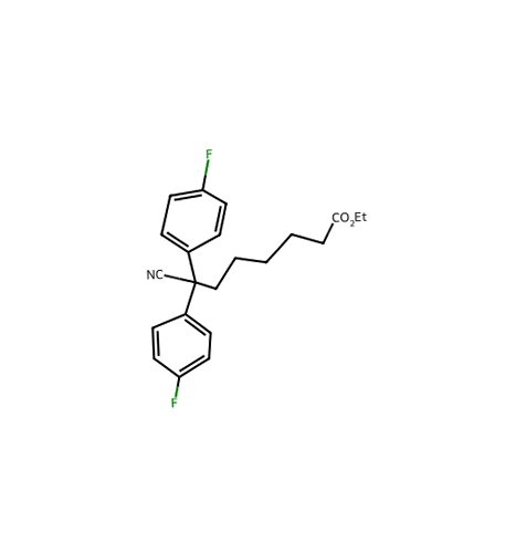 CCOC(=O)CCCCCC(C#N)(c1ccc(F)cc1)c1ccc(F)cc1